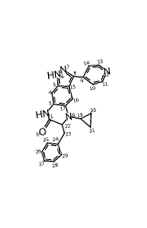 O=C1Nc2cc3[nH]nc(-c4ccncc4)c3cc2N(C2CC2)C1Cc1ccccc1